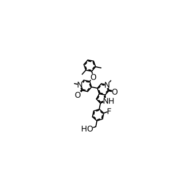 Cc1cccc(C)c1Oc1cn(C)c(=O)cc1-c1cn(C)c(=O)c2[nH]c(-c3ccc(CO)cc3F)cc12